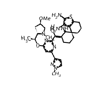 CO[C@@H]1C[C@@H]([C@H](C)Oc2cc(-c3ccn(C)n3)nc(/C(O)=C3\CCC[C@@]4(CCCc5sc(N)c(N)c54)C3=N)n2)N(C)C1